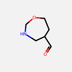 O=CC1CCOCNC1